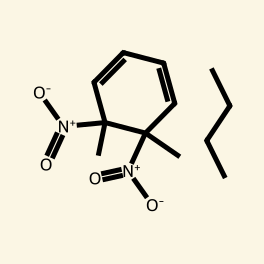 CC1([N+](=O)[O-])C=CC=CC1(C)[N+](=O)[O-].CCCC